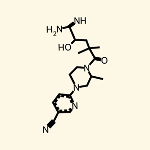 CC1CN(c2ccc(C#N)cn2)CCN1C(=O)C(C)(C)CC(O)C(=N)N